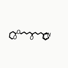 O=C(CCCCOC1CCCCO1)CCCc1cccnc1